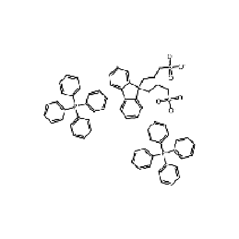 O=S(=O)([O-])CCCC1(CCCS(=O)(=O)[O-])c2c[c]ccc2-c2cc[c]cc21.c1ccc([P+](c2ccccc2)(c2ccccc2)c2ccccc2)cc1.c1ccc([P+](c2ccccc2)(c2ccccc2)c2ccccc2)cc1